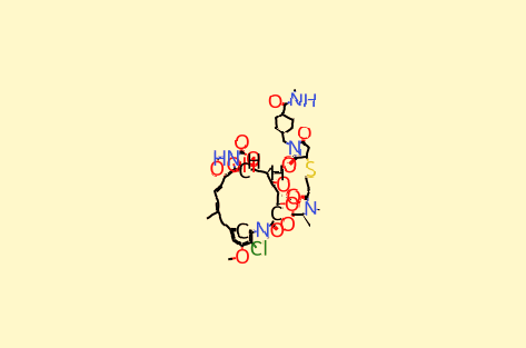 CNC(=O)C1CCC(CN2C(=O)CC(SCCC(=O)N(C)[C@@H](C)C(=O)O[C@H]3CC(=O)N(C)c4cc(cc(OC)c4Cl)C/C(C)=C/C=C/[C@@H](OC)[C@@]4(O)C[C@H](OC(=O)N4)[C@@H](C)[C@@H]4O[C@@]34C)C2=O)CC1